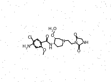 COc1cc(N)c(Cl)cc1C(=O)N[C@H]1CCN(CCN2C(=O)CNC2=O)C[C@H]1OC.O